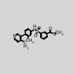 COC(=O)c1cccc(S(=O)(=O)Nc2ccc(-c3cnccc3C)c(C)c2)c1